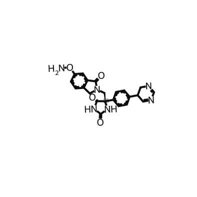 NOc1ccc2c(c1)C(=O)N(C[C@@]1(c3ccc(C4C=NC=NC4)cc3)NC(=O)NC1=O)C2